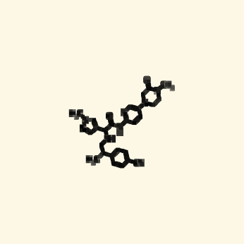 CC(CNC(C(=O)Nc1ccc(N2CCN(C)C(=O)C2)cn1)c1cnn(C)c1)c1ccc(C#N)cc1